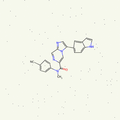 CN(C(=O)c1cn2c(-c3ccc4[nH]ccc4c3)cnc2cn1)c1ccc(C#N)cc1